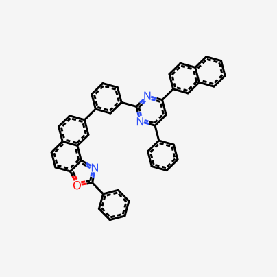 c1ccc(-c2cc(-c3ccc4ccccc4c3)nc(-c3cccc(-c4ccc5ccc6oc(-c7ccccc7)nc6c5c4)c3)n2)cc1